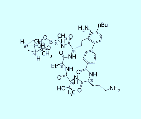 CCCCc1ccc(-c2ccc(C(=O)N[C@@H](CCCN)C(=O)N[C@H](C(=O)N[C@@H](CC)C(=O)N[C@@H](CCCCN)C(=O)N[C@@H](C)B3OC4C[C@@H]5C[C@@H](C5(C)C)[C@]4(C)O3)[C@@H](C)O)cc2)cc1